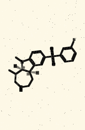 CC1CNCC[C@@H]2c3cc(S(=O)(=O)c4cccc(F)c4)ccc3N(C)[C@H]12